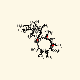 CC(C)C[C@@H]1NC(=O)[C@@H](CCCNC(=N)N)NC(=O)CNC(=O)[C@@H](NC(=O)CCCCCNC(=O)[C@@H](CCCCN)NC(=O)[C@@H](CCCNC(=N)N)NC(=O)[C@@H](CCCNC(=N)N)NC(=O)[C@H](CCCNC(=N)N)NC(=O)CCCCCN)CSSC[C@@H](C(=O)O)NC(=O)[C@H](CCCCN)NC(=O)[C@@H](CCCCN)NC(=O)[C@H](CCC(=O)O)NC(=O)[C@@H](CCCCN)NC1=O